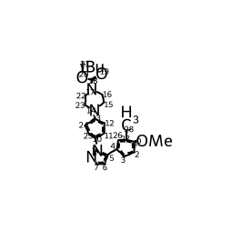 COc1ccc(-c2ccnn2-c2ccc(N3CCN(C(=O)OC(C)(C)C)CC3)cc2)cc1C